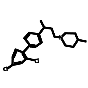 CC1CCN(CCC(C)c2ccc(-c3ccc(Cl)cc3Cl)cc2)CC1